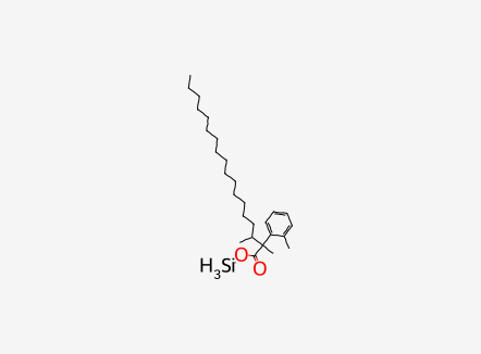 CCCCCCCCCCCCCCCC(C)C(C)(C(=O)O[SiH3])c1ccccc1C